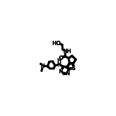 CN(C)C1CCC(Nc2ncnc3sc4c(c23)C(C(=O)NCCO)CC4)CC1